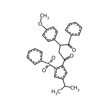 COc1ccc(C(CC(=O)c2cc(C(C)C)cn2S(=O)(=O)c2ccccc2)C(=O)c2ccccc2)cc1